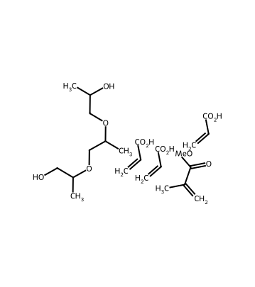 C=C(C)C(=O)OC.C=CC(=O)O.C=CC(=O)O.C=CC(=O)O.CC(O)COC(C)COC(C)CO